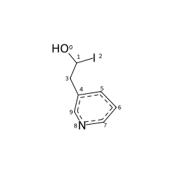 OC(I)Cc1cccnc1